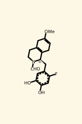 COC1=CCC2=C(CCN(C=O)[C@@H]2Cc2cc(O)c(O)cc2F)C1